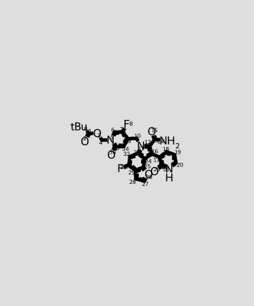 CC(C)(C)C(=O)OCn1cc(F)c(Cn2c(C(N)=O)c(-c3ccc[nH]c3=O)c3c4occc4c(F)cc32)cc1=O